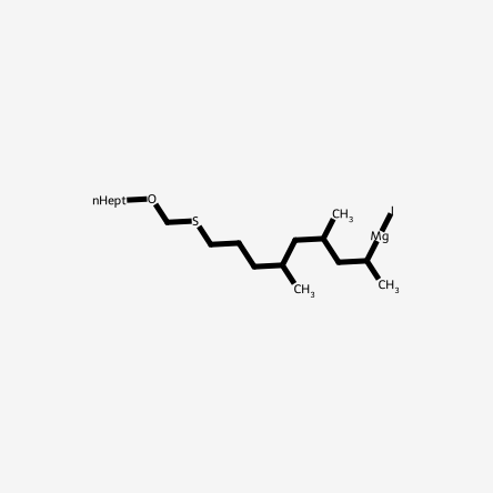 CCCCCCCOCSCCCC(C)CC(C)C[CH](C)[Mg][I]